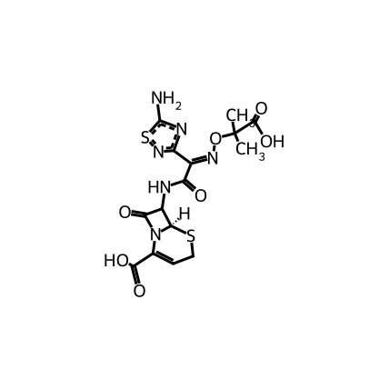 CC(C)(O/N=C(/C(=O)NC1C(=O)N2C(C(=O)O)=CCS[C@H]12)c1nsc(N)n1)C(=O)O